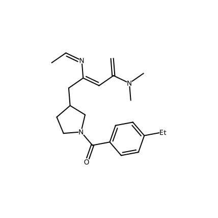 C=C(/C=C(CC1CCN(C(=O)c2ccc(CC)cc2)C1)\N=C/C)N(C)C